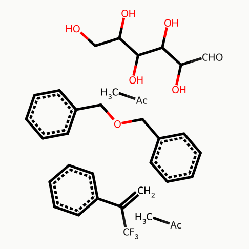 C=C(c1ccccc1)C(F)(F)F.CC(C)=O.CC(C)=O.O=CC(O)C(O)C(O)C(O)CO.c1ccc(COCc2ccccc2)cc1